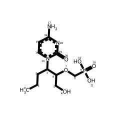 CCCC(C(CO)OCP(=O)(O)O)n1ccc(N)nc1=O